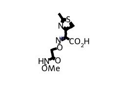 CONC(=O)CO/N=C(\C(=O)O)c1csc(C)n1